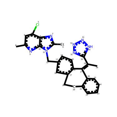 CCc1nc2c(Cl)cc(C)nc2n1Cc1ccc2c(c1)CCc1ccccc1C2=C(C)c1nnn[nH]1